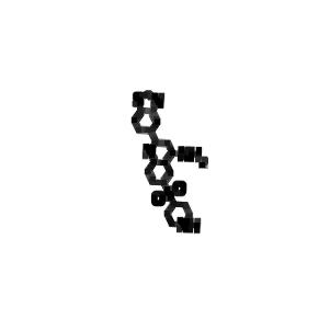 Nc1cc(-c2ccc3scnc3c2)nc2ccc(S(=O)(=O)C3CCNCC3)cc12